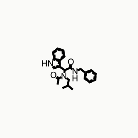 CC(=O)N(CC(C)C)C(C(=O)NCc1ccccc1)c1c[nH]c2ccccc12